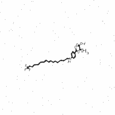 CC(OC(=O)c1ccc(NCCCCCCCCCCCCCCCC(F)(F)F)cc1)C(=O)O